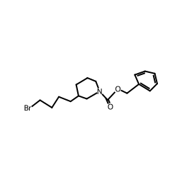 O=C(OCc1ccccc1)N1CCCC(CCCCBr)C1